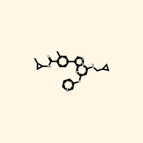 Cc1cc(-c2cnn3c(NCC4CC4)cc(Oc4cccnc4)nc23)ccc1C(=O)NC1CC1C